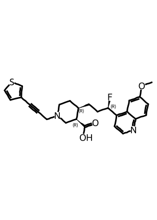 COc1ccc2nccc([C@H](F)CC[C@@H]3CCN(CC#Cc4ccsc4)C[C@@H]3C(=O)O)c2c1